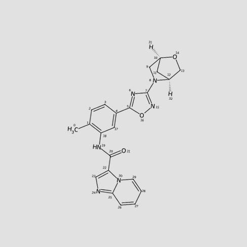 Cc1ccc(-c2nc(N3C[C@@H]4C[C@H]3CO4)no2)cc1NC(=O)c1cnc2ccccn12